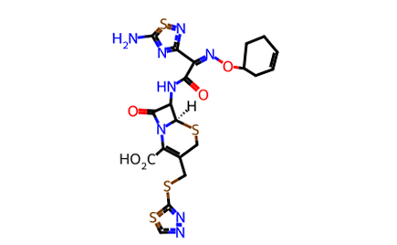 Nc1nc(/C(=N/OC2CC=CCC2)C(=O)NC2C(=O)N3C(C(=O)O)=C(CSc4nncs4)CS[C@H]23)ns1